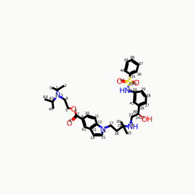 CC(C)N(CCOC(=O)c1ccc2c(ccn2CCC(C)(C)NC[C@H](O)c2cccc(NS(=O)(=O)c3ccccc3)c2)c1)C(C)C